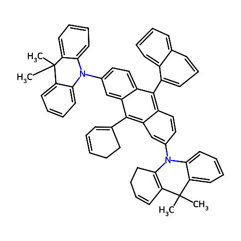 CC1(C)C2=C(CCC=C2)N(c2ccc3c(-c4cccc5ccccc45)c4ccc(N5c6ccccc6C(C)(C)c6ccccc65)cc4c(C4=CC=CCC4)c3c2)c2ccccc21